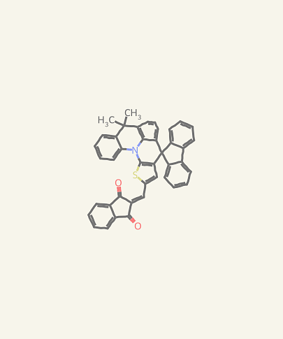 CC1(C)c2ccccc2N2c3sc(C=C4C(=O)c5ccccc5C4=O)cc3C3(c4ccccc4-c4ccccc43)c3cccc1c32